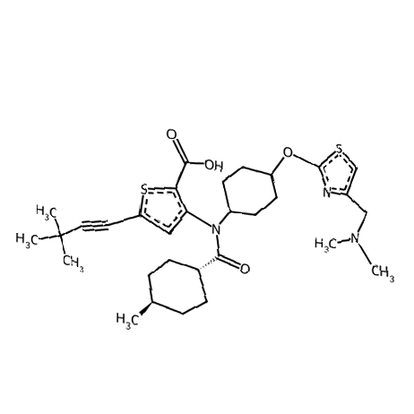 CN(C)Cc1csc(OC2CCC(N(c3cc(C#CC(C)(C)C)sc3C(=O)O)C(=O)[C@H]3CC[C@H](C)CC3)CC2)n1